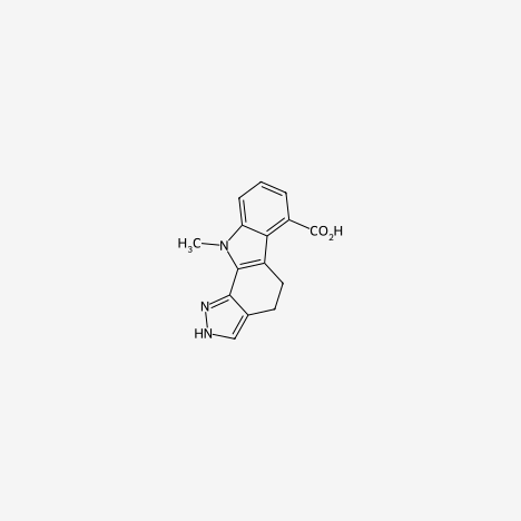 Cn1c2c(c3c(C(=O)O)cccc31)CCc1c[nH]nc1-2